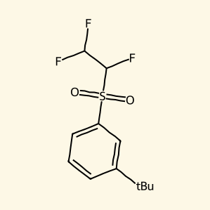 CC(C)(C)c1cccc(S(=O)(=O)C(F)C(F)F)c1